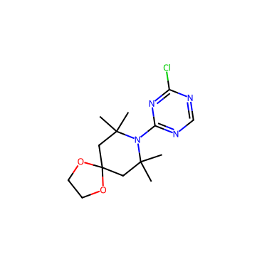 CC1(C)CC2(CC(C)(C)N1c1ncnc(Cl)n1)OCCO2